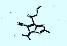 [C-]#[N+]c1c(C(=O)OCC)c2nc(C)nn2c1=C(C)C